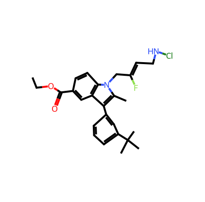 CCOC(=O)c1ccc2c(c1)c(-c1cccc(C(C)(C)C)c1)c(C)n2C/C(F)=C/CNCl